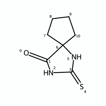 O=C1NC(=S)NC12CCCC2